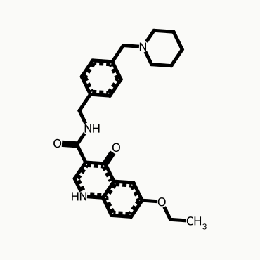 CCOc1ccc2[nH]cc(C(=O)NCc3ccc(CN4CCCCC4)cc3)c(=O)c2c1